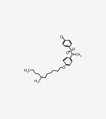 CCCCN(C)CCCCCCOc1ccc(N(C)S(=O)(=O)c2ccc(Cl)cc2)cc1